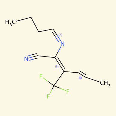 C/C=C/C(=C(C#N)\N=C/CCC)C(F)(F)F